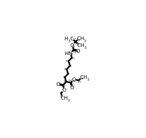 CCOC(=O)C(CCCCCCNC(=O)OC(C)(C)C)C(=O)OCC